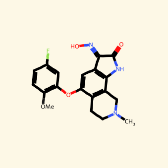 COc1ccc(F)cc1Oc1cc2c(c3c1CCN(C)C3)NC(=O)/C2=N/O